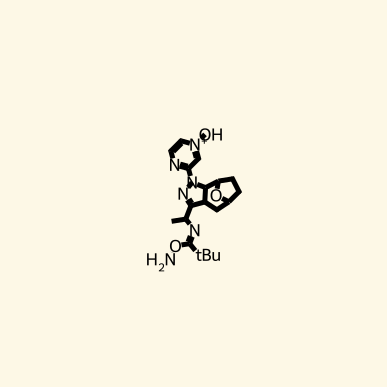 CC(/N=C(\ON)C(C)(C)C)C1=NN(c2c[n+](O)ccn2)C2C3CCC(CC12)O3